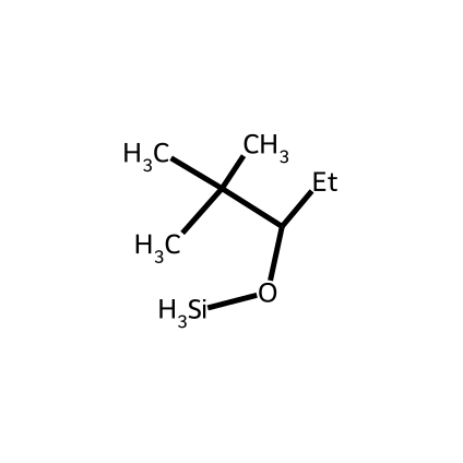 CCC(O[SiH3])C(C)(C)C